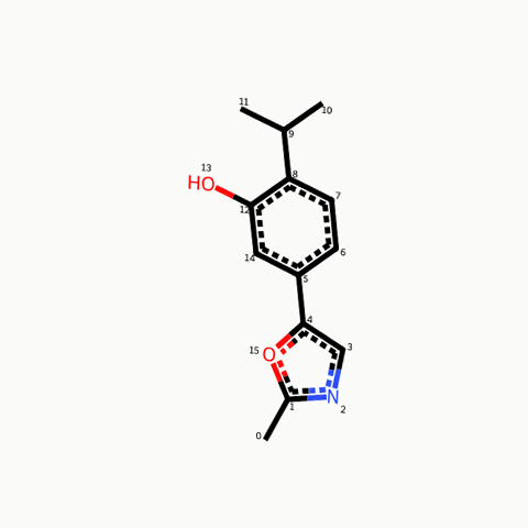 Cc1ncc(-c2ccc(C(C)C)c(O)c2)o1